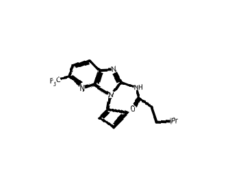 CC(C)CCC(=O)Nc1nc2ccc(C(F)(F)F)nc2n1C1=CC=C1